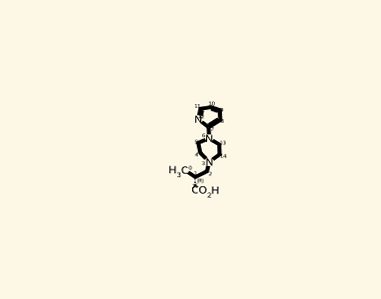 C[C@H](CN1CCN(c2ccccn2)CC1)C(=O)O